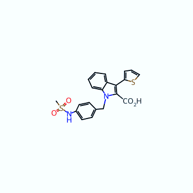 CS(=O)(=O)Nc1ccc(Cn2c(C(=O)O)c(-c3cccs3)c3ccccc32)cc1